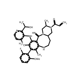 C=CC(=O)N1CC2CCNc3c(C)c(-c4c(F)cccc4OC)c(Cl)c(Nc4c(C)ccnc4C(C)O)c3C(=N)N2CC1C